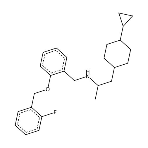 CC(CC1CCC(C2CC2)CC1)NCc1ccccc1OCc1ccccc1F